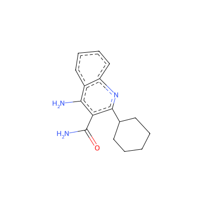 NC(=O)c1c(C2CCCCC2)nc2ccccc2c1N